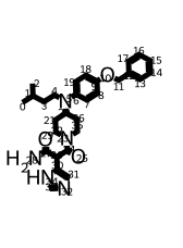 CC(C)CCN(c1ccc(OCc2ccccc2)cc1)C1CCN(C(=O)C(C(N)=O)c2cnc[nH]2)CC1